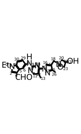 CCn1cc(C=O)c2cc(Nc3ncc(C)c(-n4cc(CN5CC(O)CO5)c(C)n4)n3)ccc21